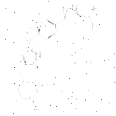 CC(=O)N1CCC(Cc2cn(Cc3ccc(-c4nnc(C(F)F)o4)cn3)nn2)CC1